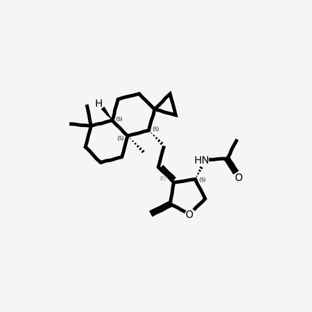 C=C1OC[C@@H](NC(C)=O)/C1=C\C[C@H]1C2(CC[C@H]3C(C)(C)CCC[C@@]31C)CC2